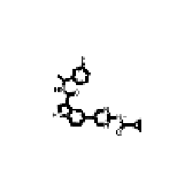 CC(NC(=O)c1c[nH]c2ccc(-c3cnc(NC(=O)C4CC4)nc3)cc12)c1cccc(F)c1